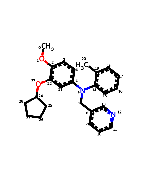 COc1ccc(N(Cc2cccnc2)c2ccccc2C)cc1OC1CCCC1